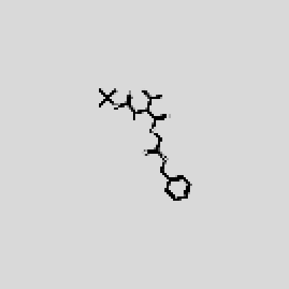 CC(C)C(NC(=O)OC(C)(C)C)C(=O)OCC(=O)OCc1ccccc1